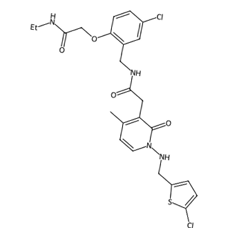 CCNC(=O)COc1ccc(Cl)cc1CNC(=O)Cc1c(C)ccn(NCc2ccc(Cl)s2)c1=O